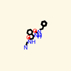 N#CCNC(=O)CC(NC(=O)NCCc1ccccc1)C1CCCCC1